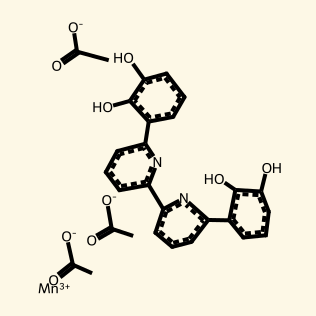 CC(=O)[O-].CC(=O)[O-].CC(=O)[O-].Oc1cccc(-c2cccc(-c3cccc(-c4cccc(O)c4O)n3)n2)c1O.[Mn+3]